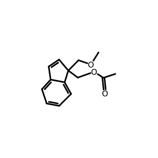 COCC1(COC(C)=O)C=Cc2ccccc21